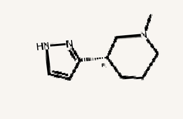 CN1CCC[C@H](c2cc[nH]n2)C1